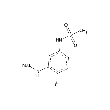 CCCCNc1cc(NS(C)(=O)=O)ccc1Cl